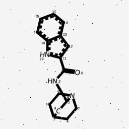 O=C(NC1CC2CCN1CC2)c1cc2ccccc2[nH]1